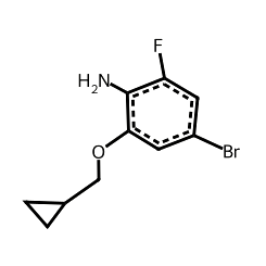 Nc1c(F)cc(Br)cc1OCC1CC1